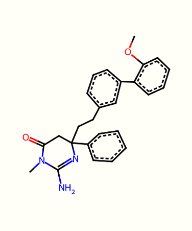 COc1ccccc1-c1cccc(CCC2(c3ccccc3)CC(=O)N(C)C(N)=N2)c1